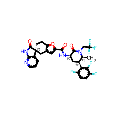 C[C@H]1[C@@H](c2c(F)ccc(F)c2F)C[C@@H](NC(=O)c2cc3c(o2)CC[C@@]2(C3)C(=O)Nc3ncccc32)C(=O)N1CC(F)(F)F